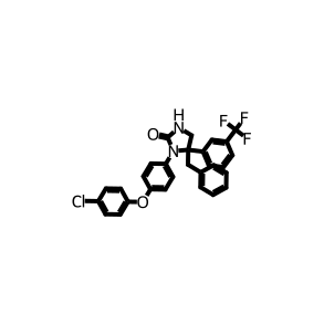 O=C1NCC(Cc2ccccc2)(c2cccc(C(F)(F)F)c2)N1c1ccc(Oc2ccc(Cl)cc2)cc1